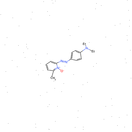 CCN(CC)c1ccc(N=Nc2cccc(C)[n+]2[O-])cc1